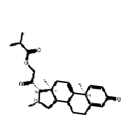 CC(C)C(=O)OCC(=O)[C@H]1[C@H](C)CC2C3CCC4=CC(=O)C=C[C@]4(C)C3=CC[C@@]21C